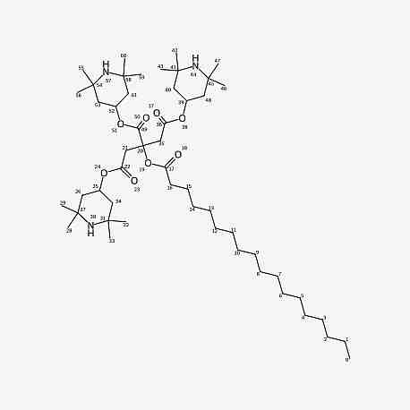 CCCCCCCCCCCCCCCCCC(=O)OC(CC(=O)OC1CC(C)(C)NC(C)(C)C1)(CC(=O)OC1CC(C)(C)NC(C)(C)C1)C(=O)OC1CC(C)(C)NC(C)(C)C1